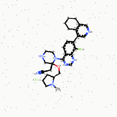 CN1C[C@H](F)C[C@H]1COC1(CC#N)CNCCN1c1ncnc2c(F)c(-c3cncc4c3CCCC4)ccc12